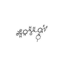 CC1CCN(c2nc(C(F)(F)F)ccc2CNC(=O)Nc2ccc(NS(C)(=O)=O)nc2)CC1